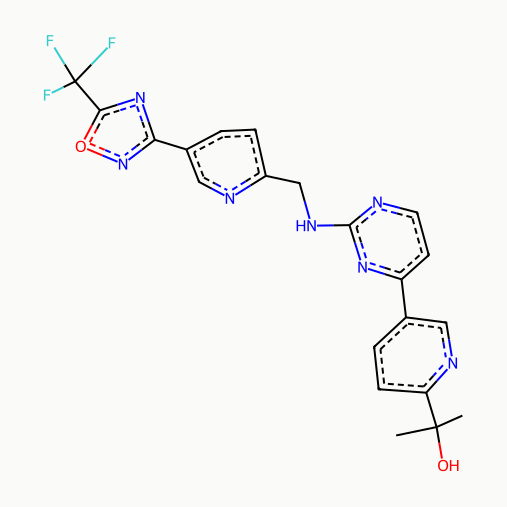 CC(C)(O)c1ccc(-c2ccnc(NCc3ccc(-c4noc(C(F)(F)F)n4)cn3)n2)cn1